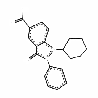 O=C(O)c1ccc2c(c1)c(=O)n(-c1ccccc1)n2C1CCCCC1